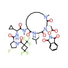 CC(C)C[C@@H]1NC(=O)[C@@H](N(C)C(=O)[C@@H](NC(=O)[C@@H]2C[C@@H](F)CN2C(=O)C2(C(F)(F)F)CC(F)(F)C2)C2CC2)CCCCCCCN(C)C(=O)[C@H](CC(=O)ON2C(=O)c3ccccc3C2=O)N(C)C1=O